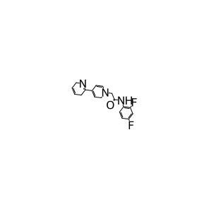 O=C(CN1C=CC(C2=NCC=CC2)=CC1)Nc1ccc(F)cc1F